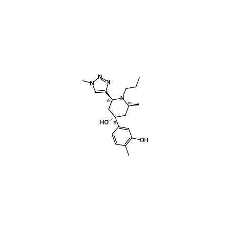 CCCN1[C@@H](C)C[C@@](O)(c2ccc(C)c(O)c2)C[C@H]1c1cn(C)nn1